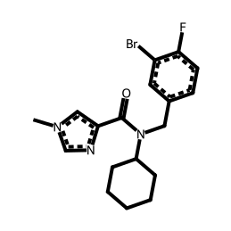 Cn1cnc(C(=O)N(Cc2ccc(F)c(Br)c2)C2CCCCC2)c1